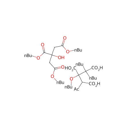 CCCCOC(=O)CC(O)(CC(=O)OCCCC)C(=O)OCCCC.CCCCOC(C(=O)O)(C(C(C)=O)C(=O)O)C(CCCC)(CCCC)C(=O)O